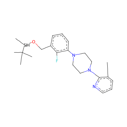 Cc1cccnc1N1CCN(c2cccc(CO[SiH](C)C(C)(C)C)c2F)CC1